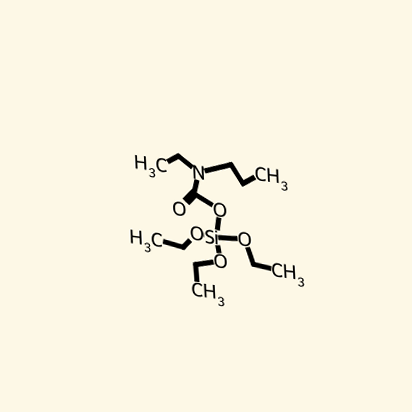 CCCN(CC)C(=O)O[Si](OCC)(OCC)OCC